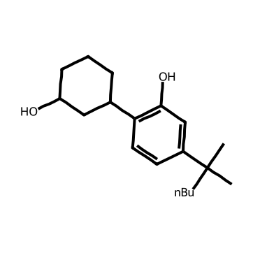 CCCCC(C)(C)c1ccc(C2CCCC(O)C2)c(O)c1